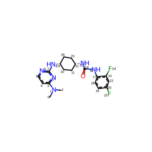 CN(C)c1ccnc(N[C@H]2CC[C@@H](NC(=O)Nc3ccc(F)cc3F)CC2)n1